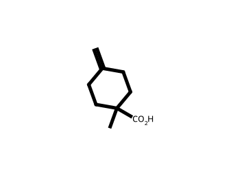 C=C1CCC(C)(C(=O)O)CC1